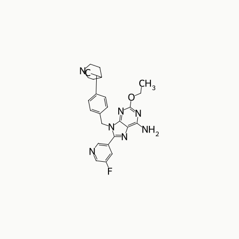 CCOc1nc(N)c2nc(-c3cncc(F)c3)n(Cc3ccc(C4CN5CCC4CC5)cc3)c2n1